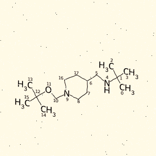 CC(C)(C)NCC1CCN(COC(C)(C)C)CC1